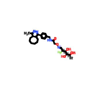 CC[C@@H](O)[C@@H](O)[C@H](O)[C@@H]([18F])/C=N/OCC(=O)NCc1ccc(C2=NN=C(C)C3CCCCCCC23)cc1